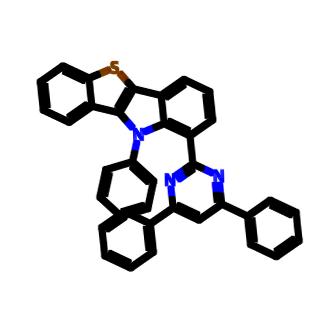 c1ccc(-c2cc(-c3ccccc3)nc(-c3cccc4c5sc6ccccc6c5n(-c5ccccc5)c34)n2)cc1